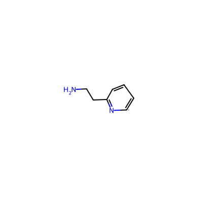 NCCc1ccc[c]n1